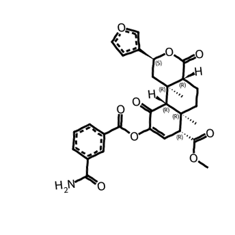 COC(=O)[C@@H]1C=C(OC(=O)c2cccc(C(N)=O)c2)C(=O)[C@H]2[C@@]1(C)CC[C@H]1C(=O)O[C@H](c3ccoc3)C[C@]21C